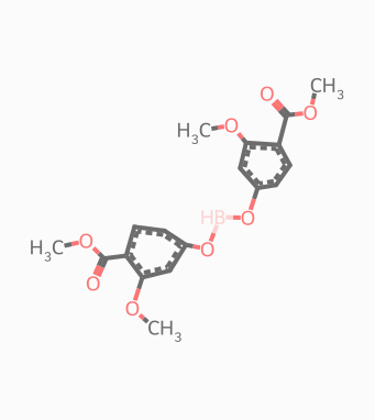 COC(=O)c1ccc(OBOc2ccc(C(=O)OC)c(OC)c2)cc1OC